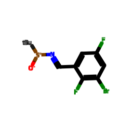 CC(C)(C)[S+]([O-])/N=C/c1cc(F)cc(Br)c1F